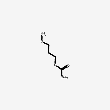 COC(=O)OCCCON